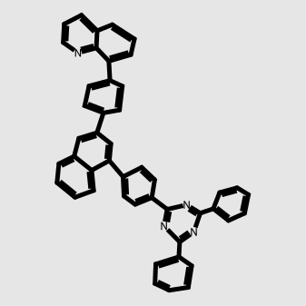 c1ccc(-c2nc(-c3ccccc3)nc(-c3ccc(-c4cc(-c5ccc(-c6cccc7cccnc67)cc5)cc5ccccc45)cc3)n2)cc1